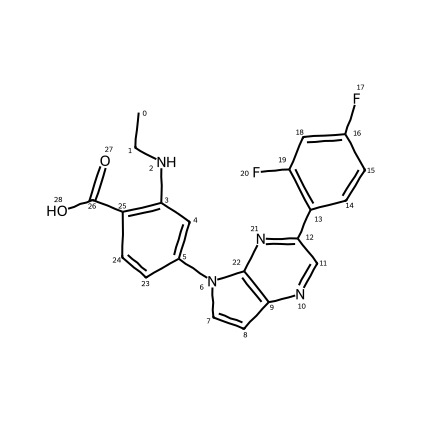 CCNc1cc(-n2ccc3ncc(-c4ccc(F)cc4F)nc32)ccc1C(=O)O